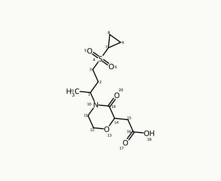 CC(CCS(=O)(=O)C1CC1)N1CCOC(CC(=O)O)C1=O